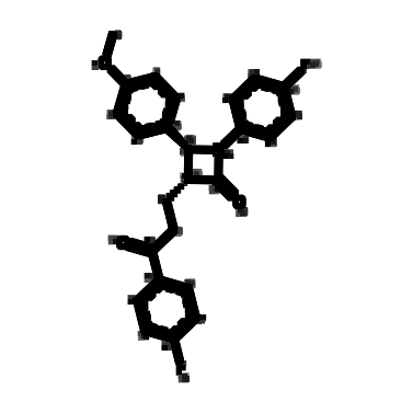 COc1ccc([C@@H]2[C@@H](CCC(=O)c3ccc(F)cc3)C(=O)N2c2ccc(F)cc2)cc1